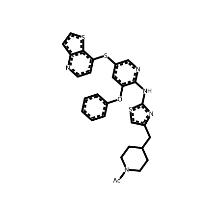 CC(=O)N1CCC(Cc2csc(Nc3ncc(Sc4ccnc5ccsc45)cc3Oc3ccccc3)n2)CC1